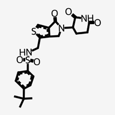 CC(C)(C)c1ccc(S(=O)(=O)NCc2scc3c2CN(C2CCC(=O)NC2=O)C3=O)cc1